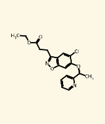 CCOC(=O)CCc1noc2cc(OC(C)c3ccccn3)c(Cl)cc12